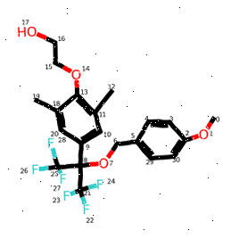 COc1ccc(COC(c2cc(C)c(OCCO)c(C)c2)(C(F)(F)F)C(F)(F)F)cc1